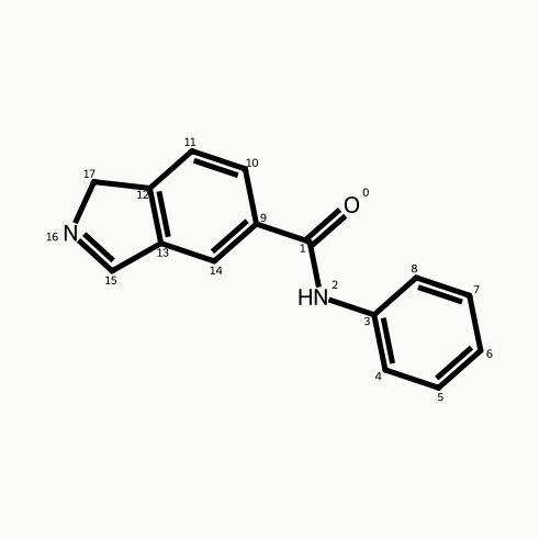 O=C(Nc1ccccc1)c1ccc2c(c1)C=NC2